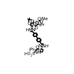 COC(=O)N[C@H](C(=O)N1CC2(C[C@H]1c1nc(-c3ccc(-c4ccc(-c5c[nH]c([C@@H]6CCCN6C(=O)[C@@H](NC(=O)O)C(C)C)n5)cc4)cc3)c[nH]1)OCC(C)(C)CO2)C(C)C